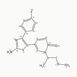 COCC(C)n1cc(-c2sc(N)nc2-c2ccc(F)cc2)ccc1=O